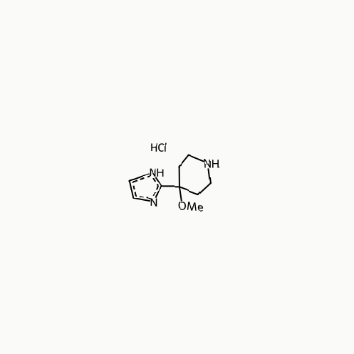 COC1(c2ncc[nH]2)CCNCC1.Cl